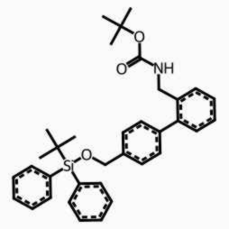 CC(C)(C)OC(=O)NCc1ccccc1-c1ccc(CO[Si](c2ccccc2)(c2ccccc2)C(C)(C)C)cc1